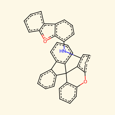 c1ccc2c(c1)Oc1cccc(Nc3cccc4c3oc3ccccc34)c1C21c2ccccc2-c2ccccc21